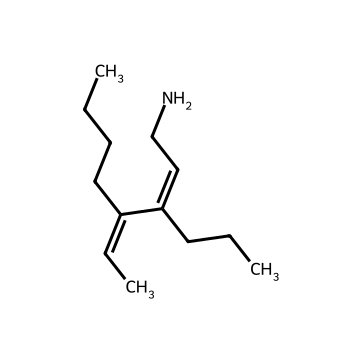 C/C=C(CCCC)\C(=C/CN)CCC